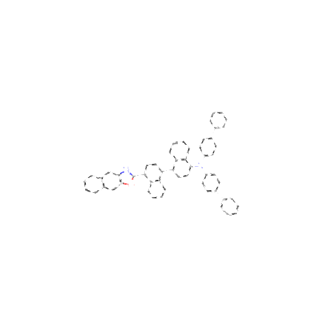 c1ccc(-c2ccc(N(c3ccc(-c4ccccc4)cc3)c3ccc(-c4ccc(-c5nc6cc7ccccc7cc6o5)c5ccccc45)c4ccccc34)cc2)cc1